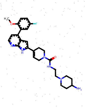 COc1ccc(F)cc1-c1ccnc2[nH]c(C3=CCN(C(=O)NCCN4CCC(N)CC4)CC3)cc12